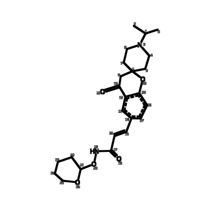 CC(C)N1CCC2(CC1)CC(=O)c1cc(C=CC(=O)NOC3CCCCO3)ccc1O2